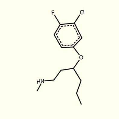 CCCC(CCNC)Oc1ccc(F)c(Cl)c1